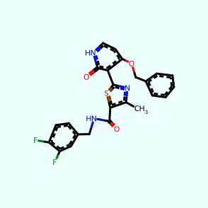 Cc1nc(-c2c(OCc3ccccc3)cc[nH]c2=O)sc1C(=O)NCc1ccc(F)c(F)c1